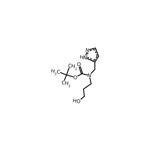 CC(C)(C)OC(=O)N(CCCO)Cc1ccn[nH]1